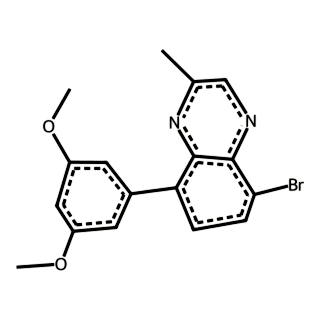 COc1cc(OC)cc(-c2ccc(Br)c3ncc(C)nc23)c1